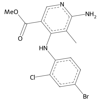 COC(=O)c1cnc(N)c(C)c1Nc1ccc(Br)cc1Cl